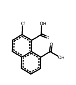 O=C(O)c1cccc2ccc(Cl)c(C(=O)O)c12